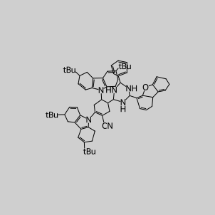 CC(C)(C)C1=Cc2c3c(n(C4=C(C#N)CC(C5NC(C6=C7OC8=CCCC=C8C7CC=C6)NC(c6ccccc6)N5)C(n5c6c(c7c5CCC(C(C)(C)C)=C7)CC(C(C)(C)C)C=C6)C4)c2CC1)C=CC(C(C)(C)C)C3